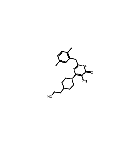 Cc1ccc(C)c(Cc2nc(N3CCC(CCO)CC3)c(C#N)c(=O)[nH]2)c1